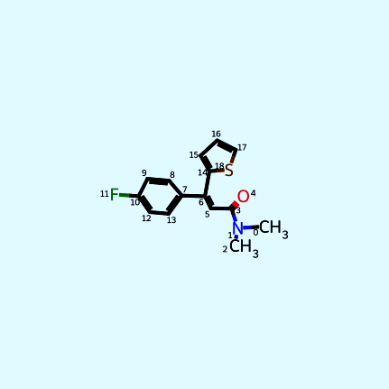 CN(C)C(=O)C=C(c1ccc(F)cc1)c1cccs1